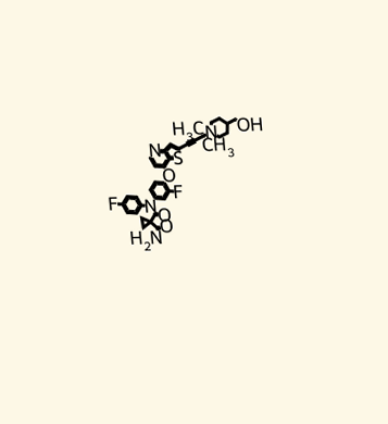 CC(C)(C#Cc1cc2nccc(Oc3ccc(N(C(=O)C4(C(N)=O)CC4)c4ccc(F)cc4)cc3F)c2s1)N1CCC(CO)CC1